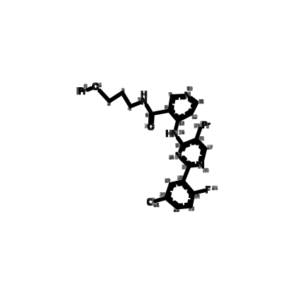 CC(C)OCCCNC(=O)c1cnccc1Nc1nc(-c2cc(Cl)ccc2F)ncc1C(C)C